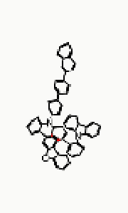 c1ccc(N(c2ccc(-c3ccc(-c4ccc5ccccc5c4)cc3)cc2)c2ccc(-c3ccccc3-n3c4ccccc4c4ccccc43)cc2)c(-c2ccc3c(c2)oc2ccccc23)c1